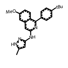 COc1ccc2c(-c3ccc(C(C)(C)C)cc3)nc(Nc3cc(C)[nH]n3)cc2c1